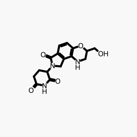 O=C1CCC(N2Cc3c(ccc4c3NCC(CO)O4)C2=O)C(=O)N1